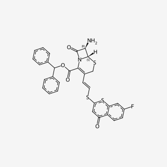 N[C@@H]1C(=O)N2C(C(=O)OC(c3ccccc3)c3ccccc3)=C(C=CSc3cc(=O)c4ccc(F)cc4s3)CS[C@@H]12